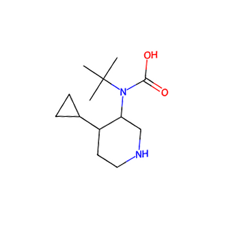 CC(C)(C)N(C(=O)O)C1CNCCC1C1CC1